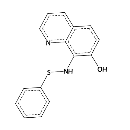 Oc1ccc2cccnc2c1NSc1ccccc1